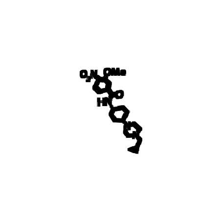 COc1cc(C(=O)N[C@H]2CC[C@H](N3CCN(CC4CC4)CC3)CC2)ccc1[N+](=O)[O-]